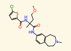 COCCC(C)(NC(=O)c1ccc(Cl)s1)C(=O)Nc1ccc2c(c1)CCN(C)CC2